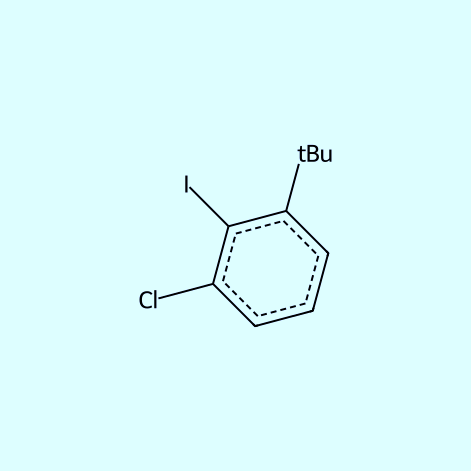 CC(C)(C)c1cccc(Cl)c1I